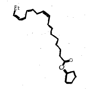 CC/C=C\C/C=C\C/C=C\CCCCCCCC(=O)OC1CCCC1